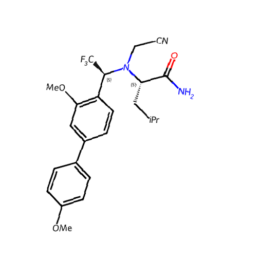 COc1ccc(-c2ccc([C@H](N(CC#N)[C@@H](CC(C)C)C(N)=O)C(F)(F)F)c(OC)c2)cc1